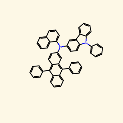 c1ccc(-c2c3ccccc3c(-c3ccccc3)c3cc(N(c4ccc5c(c4)c4ccccc4n5-c4ccccc4)c4cccc5ccccc45)ccc23)cc1